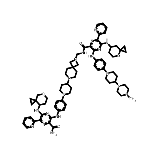 CN1CCN(C2CCN(c3ccc(Nc4nc(NC5CCOC6(CC6)C5)c(-c5ccccn5)nc4C(=O)NCN4CC5(CCN(C6CCN(c7ccc(Nc8nc(NC9CCOCC9%10CC%10)c(-c9ccccn9)nc8C(N)=O)cc7)CC6)CC5)C4)cc3)CC2)CC1